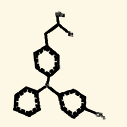 CCCCC(CC)Cc1ccc(N(c2ccccc2)c2ccc(C)cc2)cc1